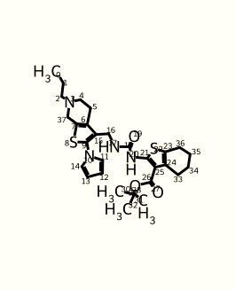 CCCN1CCc2c(sc(-n3cccc3)c2CNC(=O)Nc2sc3c(c2C(=O)OC(C)(C)C)CCCC3)C1